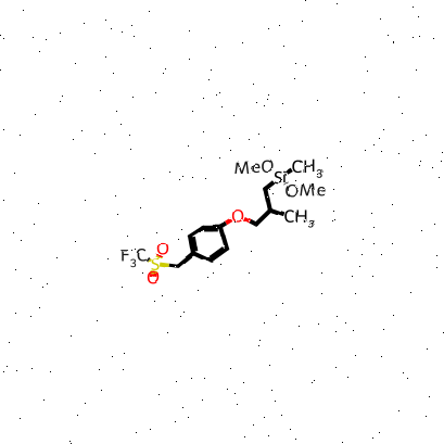 CO[Si](C)(CC(C)COc1ccc(CS(=O)(=O)C(F)(F)F)cc1)OC